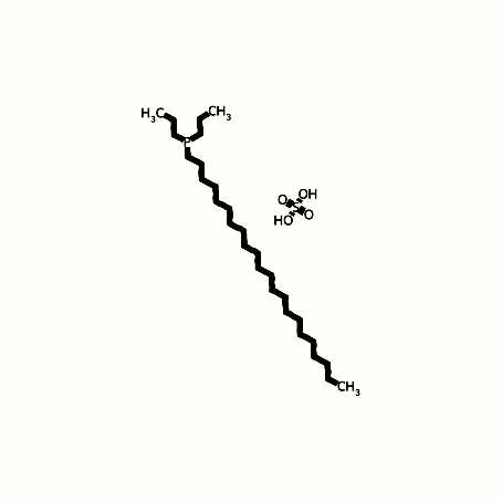 CCCCCCCCCCCCCCCCCCCCCCP(CCC)CCC.O=S(=O)(O)O